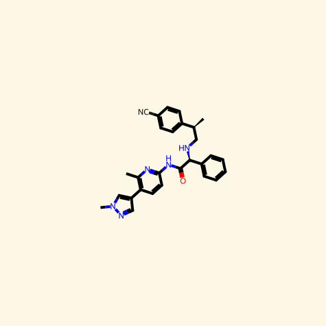 Cc1nc(NC(=O)[C@@H](NC[C@H](C)c2ccc(C#N)cc2)c2ccccc2)ccc1-c1cnn(C)c1